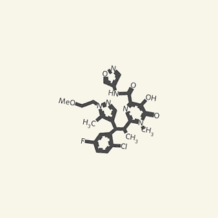 COCCn1ncc(C(c2cc(F)ccc2Cl)C(C)c2nc(C(=O)Nc3cnoc3)c(O)c(=O)n2C)c1C